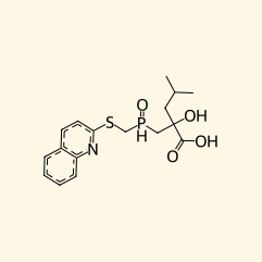 CC(C)CC(O)(C[PH](=O)CSc1ccc2ccccc2n1)C(=O)O